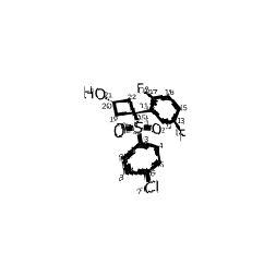 O=S(=O)(c1ccc(Cl)cc1)[C@]1(c2cc(F)ccc2F)C[C@H](O)C1